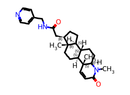 CN1C(=O)C=C[C@]2(C)[C@H]3CC[C@]4(C)[C@@H](CC(=O)NCc5ccncc5)CC[C@H]4[C@@H]3CC[C@@H]12